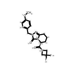 COc1ccc(Cn2nc3n(c2=O)[C@H](C(=O)N2CC(F)(F)C2)CCC3)nc1